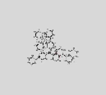 c1ccc(-c2ccc(N(c3ccccc3)c3cc4c(cc3-c3ccc(-c5cccc6c5CCCC6)cc3)-c3ccccc3C43c4ccccc4-c4ccccc43)cc2)cc1